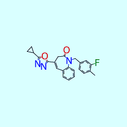 Cc1ccc(CN2C(=O)CC(c3nnc(C4CC4)o3)=Cc3ccccc32)cc1F